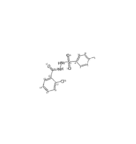 Cc1ccc(S(=O)(=O)NNC(=O)c2ccccc2Cl)cc1